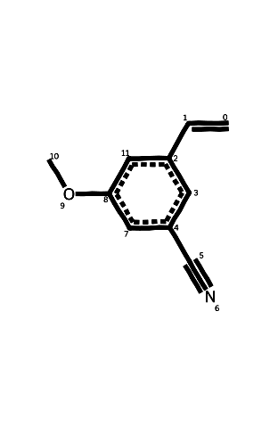 C=Cc1cc(C#N)cc(OC)c1